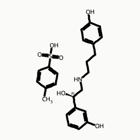 Cc1ccc(S(=O)(=O)O)cc1.Oc1ccc(CCCNC[C@H](O)c2cccc(O)c2)cc1